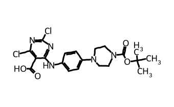 CC(C)(C)OC(=O)N1CCN(c2ccc(Nc3nc(Cl)nc(Cl)c3C(=O)O)cc2)CC1